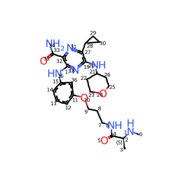 CN[C@@H](C)C(=O)NCCCOc1cccc(Nc2nc(NC3CCOCC3)c(C3CC3)nc2C(N)=O)c1